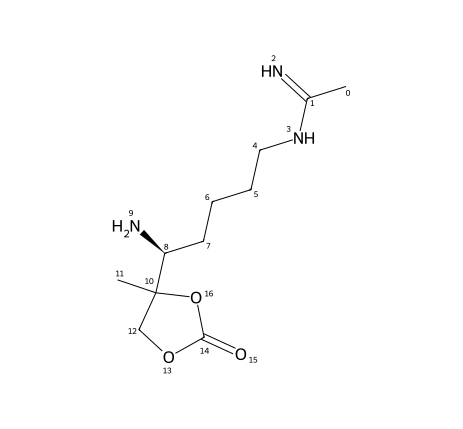 CC(=N)NCCCC[C@H](N)C1(C)COC(=O)O1